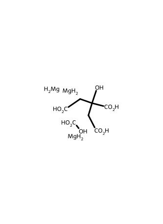 O=C(O)CC(O)(CC(=O)O)C(=O)O.O=C(O)O.[MgH2].[MgH2].[MgH2]